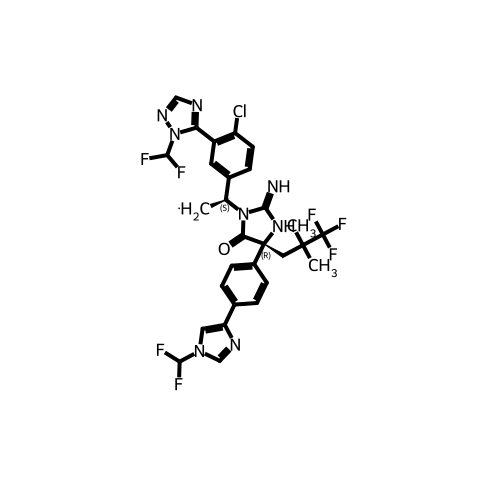 [CH2][C@@H](c1ccc(Cl)c(-c2ncnn2C(F)F)c1)N1C(=N)N[C@](CC(C)(C)C(F)(F)F)(c2ccc(-c3cn(C(F)F)cn3)cc2)C1=O